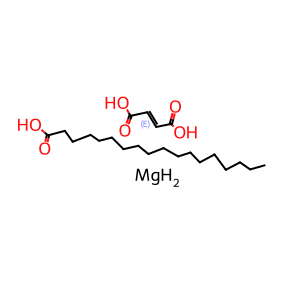 CCCCCCCCCCCCCCCCCC(=O)O.O=C(O)/C=C/C(=O)O.[MgH2]